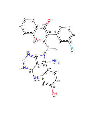 CC(c1oc2ccccc2c(=O)c1-c1cccc(F)c1)N1c2ncnc(N)c2[C@]1(N)c1ccc(O)cc1